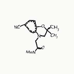 CNC(=O)CN1CC(C)(C)Oc2ccc(C#N)cc21